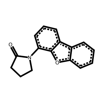 O=C1CCCN1c1cccc2c1oc1ccccc12